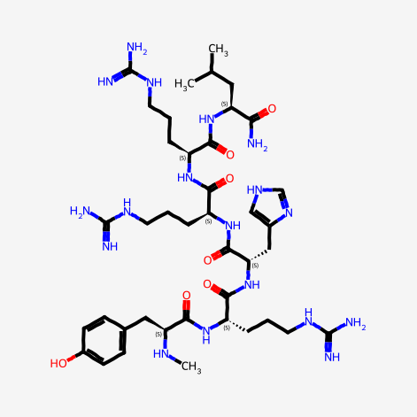 CN[C@@H](Cc1ccc(O)cc1)C(=O)N[C@@H](CCCNC(=N)N)C(=O)N[C@@H](Cc1c[nH]cn1)C(=O)N[C@@H](CCCNC(=N)N)C(=O)N[C@@H](CCCNC(=N)N)C(=O)N[C@@H](CC(C)C)C(N)=O